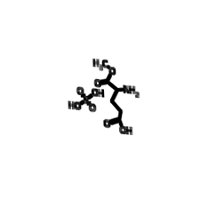 COC(=O)C(N)CCC(=O)O.O=S(=O)(O)O